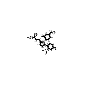 CNc1cc(Cl)ccc1-c1ccc(CCC(=O)O)n1-c1ccc(C=O)cc1C